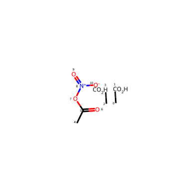 CC(=O)O.CC(=O)O.CC(=O)O[N+](=O)[O-]